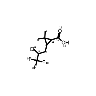 CC1(C)C(CC(Cl)C(F)(F)F)C1C(=O)O